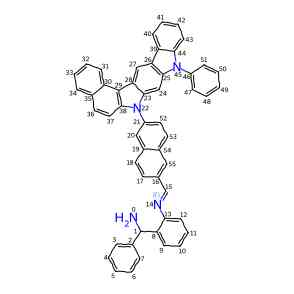 NC(c1ccccc1)c1ccccc1/N=C/c1ccc2cc(-n3c4cc5c(cc4c4c6ccccc6ccc43)c3ccccc3n5-c3ccccc3)ccc2c1